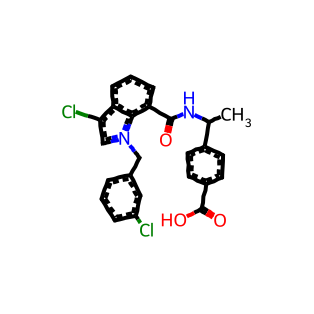 CC(NC(=O)c1cccc2c(Cl)cn(Cc3cccc(Cl)c3)c12)c1ccc(C(=O)O)cc1